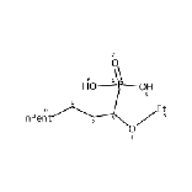 CCCCCCCC(OCC)P(=O)(O)O